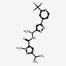 CC(C)c1cc(C(=O)N[C@@H](C)c2cc(-c3ccnc(C(F)(F)F)c3)no2)n(C)n1